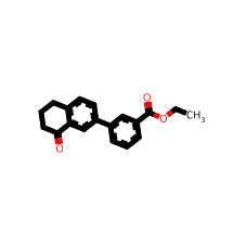 CCOC(=O)c1cccc(-c2ccc3c(c2)C(=O)CCC3)c1